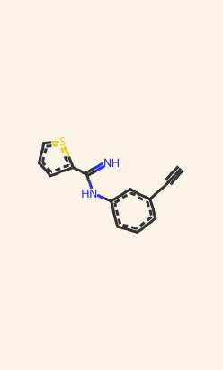 C#Cc1cccc(NC(=N)c2cccs2)c1